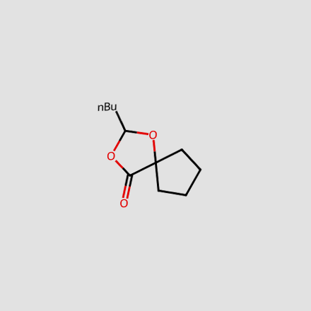 CCCCC1OC(=O)C2(CCCC2)O1